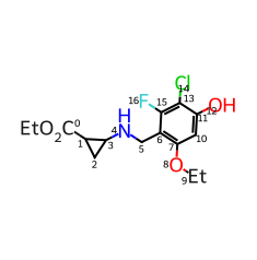 CCOC(=O)C1CC1NCc1c(OCC)cc(O)c(Cl)c1F